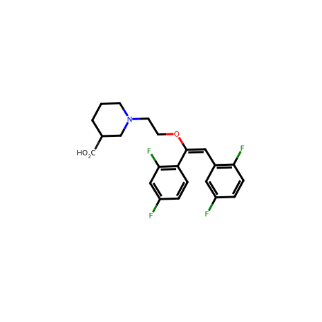 O=C(O)C1CCCN(CCOC(=Cc2cc(F)ccc2F)c2ccc(F)cc2F)C1